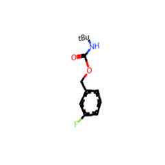 CC(C)(C)NC(=O)OCc1cccc(F)c1